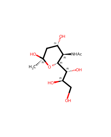 CC(=O)N[C@H]1[C@H]([C@H](O)[C@H](O)CO)O[C@@](C)(O)C[C@@H]1O